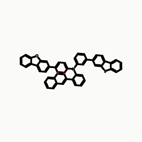 c1cc(-c2ccc3c(c2)sc2ccccc23)cc(N(c2ccc(-c3ccc4c(c3)oc3ccccc34)cc2)c2ccccc2-c2ccc3ccccc3c2)c1